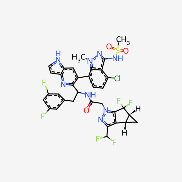 Cn1nc(NS(C)(=O)=O)c2c(Cl)ccc(-c3cc4[nH]ccc4nc3C(Cc3cc(F)cc(F)c3)NC(=O)Cn3nc(C(F)F)c4c3C(F)(F)[C@@H]3C[C@H]43)c21